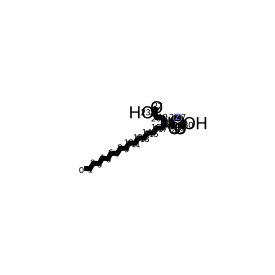 CCCCCCCCCCCCCCCCCCN(CCC(=O)O)C(=O)/C=C\C(=O)O